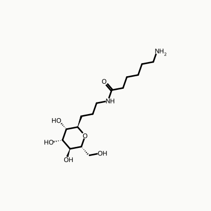 NCCCCCC(=O)NCCC[C@H]1O[C@H](CO)[C@@H](O)[C@H](O)[C@@H]1O